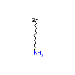 C[Si](C)(C)CCCCCCCCCCCCN